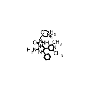 Cc1cc(-c2c(-c3ccccc3)nc(N)[n+]3c(=O)n(C[C@@H]4CN(C)CCO4)[nH]c23)cc(C)n1